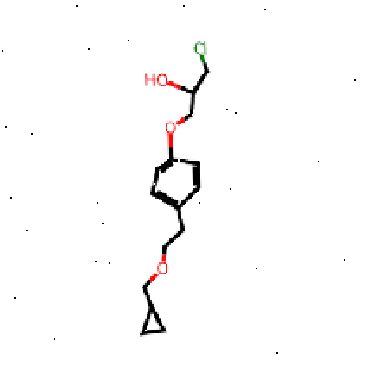 OC(CCl)COc1ccc(CCOCC2CC2)cc1